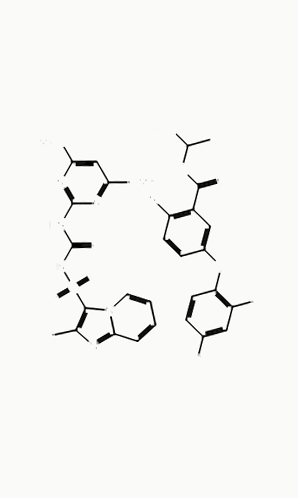 CCOC(=O)C(C)OC(=O)c1cc(Oc2ccc(C(F)(F)F)cc2Cl)ccc1[N+](=O)[O-].COc1cc(OC)nc(NC(=O)NS(=O)(=O)c2c(Cl)nc3ccccn23)n1